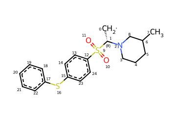 [CH2][C@H](N1CCCC(C)C1)S(=O)(=O)c1ccc(Sc2ccccc2)cc1